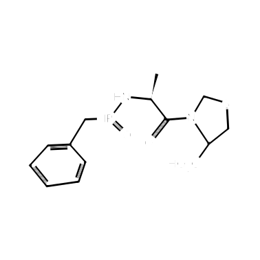 C[C@H](N[PH](=O)Cc1ccccc1)C(=O)N1CSCC1C(=O)O